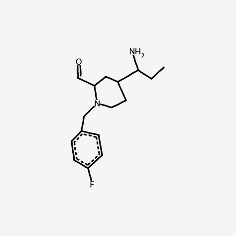 CCC(N)C1CCN(Cc2ccc(F)cc2)C(C=O)C1